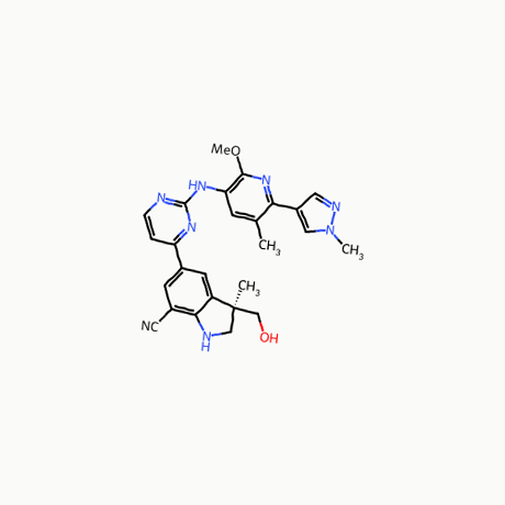 COc1nc(-c2cnn(C)c2)c(C)cc1Nc1nccc(-c2cc(C#N)c3c(c2)[C@@](C)(CO)CN3)n1